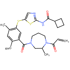 C=CC(=O)N1CCCN(C(=O)c2cc(Sc3cnc(NC(=O)C4CCC4)s3)c(C)cc2OC)CC1C